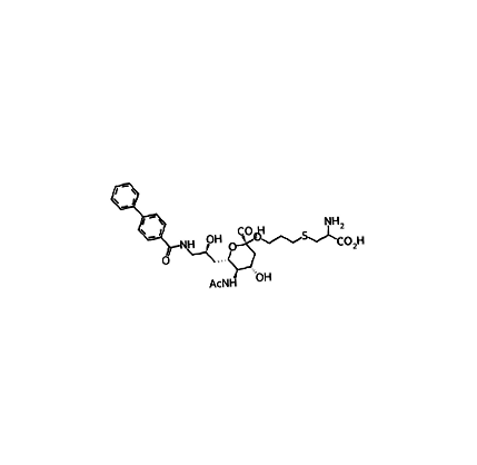 CC(=O)N[C@H]1[C@H](C[C@H](O)CNC(=O)c2ccc(-c3ccccc3)cc2)O[C@@](OCCCSCC(N)C(=O)O)(C(=O)O)C[C@@H]1O